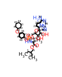 CCC(CC)COC(=O)[C@H](C)NP(=O)(OC[C@H]1O[C@@](C#N)(c2ccc3c(N)ncnn23)[C@H](O)[C@@H]1O)Oc1ccc(OC2CCCCC2)cc1